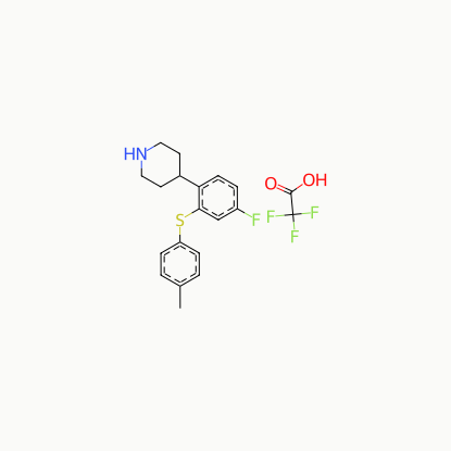 Cc1ccc(Sc2cc(F)ccc2C2CCNCC2)cc1.O=C(O)C(F)(F)F